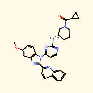 COc1ccc2c(c1)nc(-c1ccc3ccccc3n1)n2-c1ccnc(N[C@H]2CCCN(C(=O)C3CC3)C2)n1